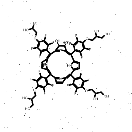 CCC(O)COc1c(F)c(F)c(-c2c3nc(c(-c4c(F)c(F)c(OCC(O)CO)c(F)c4F)c4ccc([nH]4)c(-c4c(F)c(F)c(OCC(O)CO)c(F)c4F)c4nc(c(-c5c(F)c(F)c(OCC(O)CO)c(F)c5F)c5ccc2[nH]5)C=C4)[C@@H](O)[C@@H]3O)c(F)c1F